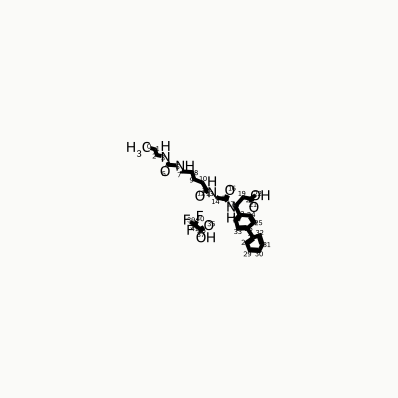 CCCNC(=O)NCCCCC(=O)NCC(=O)NC(CC(=O)O)c1ccc(-c2ccccc2)cc1.O=C(O)C(F)(F)F